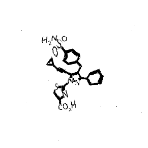 NS(=O)(=O)c1ccc(Cc2c(-c3ccccc3)nn(-c3nc(C(=O)O)cs3)c2C#CC2CC2)cc1